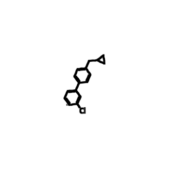 Clc1[c]ccc(-c2ccc(CC3CC3)cc2)c1